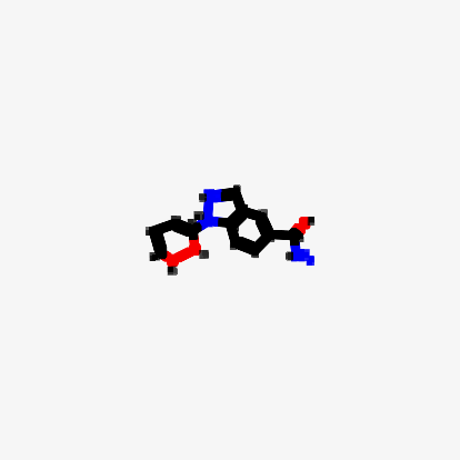 NC(=O)c1ccc2c(cnn2C2=CC=COO2)c1